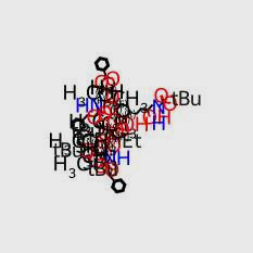 CC[C@@H]1O[C@H](O[C@H]2[C@@H](O[Si](C)(C)C(C)(C)C)[C@H](O[C@@H]3[C@@H](O)[C@H](CCC(O)CNC(=O)OC(C)(C)C)C[C@H](C)[C@H]3O[C@H]3O[C@@H]4COC(c5ccccc5)O[C@H]4[C@H](C)[C@H]3NC(=O)OCc3ccccc3)O[C@@H]2CC)[C@H](NC(=O)OCc2ccccc2)[C@@H](O[Si](C)(C)C(C)(C)C)[C@@H]1O[Si](C)(C)C(C)(C)C